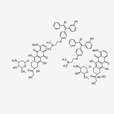 CC/C(=C(/c1ccc(OCCN(C)C)cc1)c1cccc(O)c1)c1ccccc1.CC/C(=C(/c1ccc(OCCN(C)C)cc1)c1cccc(O)c1)c1ccccc1.COc1cccc2c1C(=O)c1c(O)c3c(c(O)c1C2=O)C[C@@](O)(C(=O)CO)C[C@@H]3OC1CC(N)C(O)C(C)O1.COc1cccc2c1C(=O)c1c(O)c3c(c(O)c1C2=O)C[C@@](O)(C(=O)CO)C[C@@H]3O[C@H]1C[C@H](N)[C@H](O)[C@H](C)O1.Cl